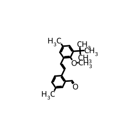 COc1c(/C=C/c2ccc(C)cc2C=O)cc(C)cc1C(C)(C)C